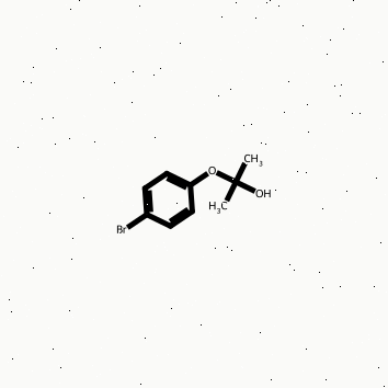 CC(C)(O)Oc1ccc(Br)cc1